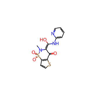 CN1C(=C(O)Nc2ccccn2)C(=O)c2sccc2S1(=O)=O